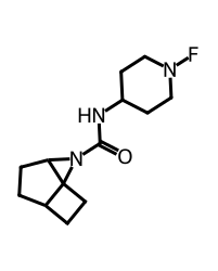 O=C(NC1CCN(F)CC1)N1C2CCC3CCC321